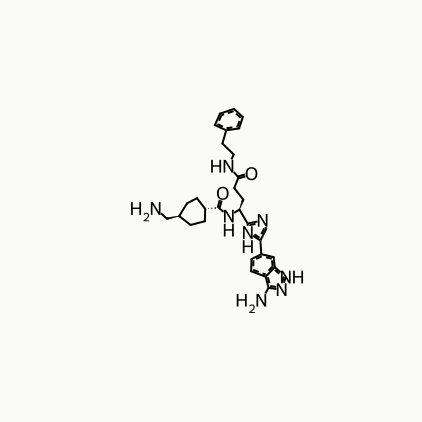 NC[C@H]1CC[C@H](C(=O)N[C@@H](CCC(=O)NCCc2ccccc2)c2ncc(-c3ccc4c(N)n[nH]c4c3)[nH]2)CC1